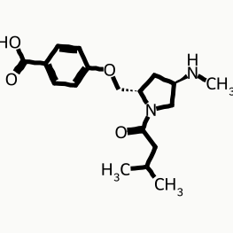 CN[C@@H]1C[C@@H](COc2ccc(C(=O)O)cc2)N(C(=O)CC(C)C)C1